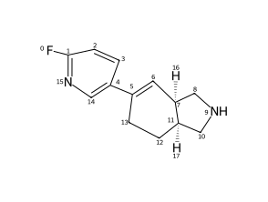 Fc1ccc(C2=C[C@H]3CNC[C@H]3CC2)cn1